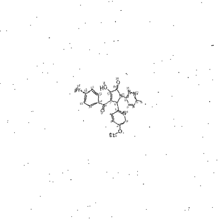 CCOc1ccc(C2C(C(=O)c3ccc(C(C)C)cc3)=C(O)C(=O)N2c2ccc(C)nn2)nc1